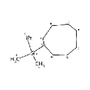 CC(C)[Si](C)(C)[C]1CCCCCCC1